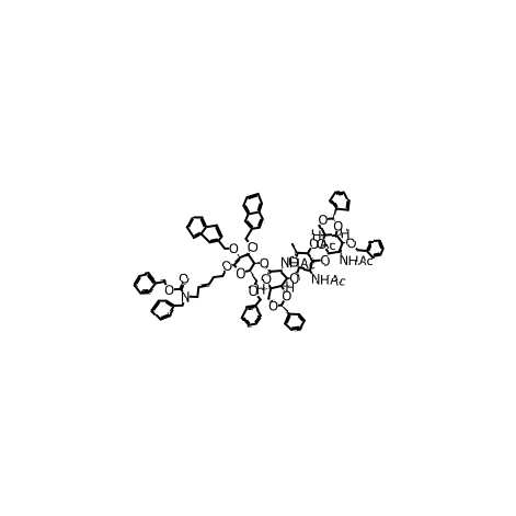 CC(=O)NC1C(O[C@@H]2[C@@H](NC(C)=O)[C@@H](O[C@@H]3[C@H](OCc4ccc5ccccc5c4)[C@@H](OCc4ccc5ccccc5c4)[C@@H](OCCCCCN(Cc4ccccc4)C(=O)OCc4ccccc4)O[C@@H]3COCc3ccccc3)O[C@@H]3CO[C@H](c4ccccc4)O[C@H]23)OC(C)C(OC(C)=O)C1O[C@@H]1O[C@@H]2CO[C@@H](c3ccccc3)O[C@H]2[C@H](OCc2ccccc2)[C@@H]1NC(C)=O